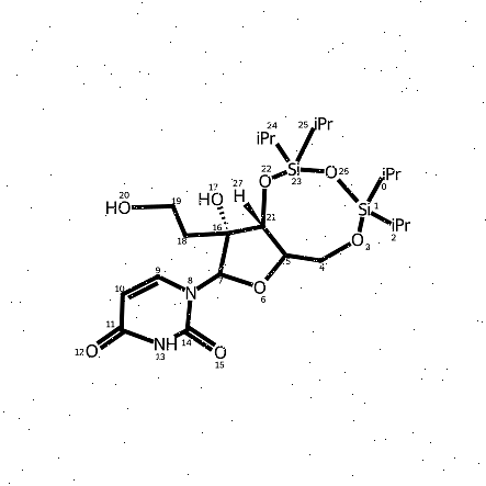 CC(C)[Si]1(C(C)C)OCC2OC(n3ccc(=O)[nH]c3=O)[C@@](O)(CCO)[C@@H]2O[Si](C(C)C)(C(C)C)O1